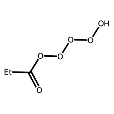 CCC(=O)OOOOO